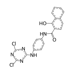 O=C(Nc1ccc(Nc2nc(Cl)nc(Cl)n2)cc1)c1ccc2ccccc2c1O